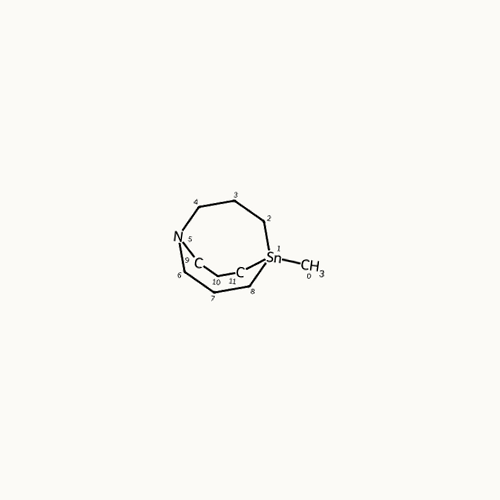 [CH3][Sn]12[CH2]CCN(CC[CH2]1)CC[CH2]2